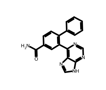 NC(=O)c1ccc(-c2ccccc2)c(-c2ncnc3[nH]cnc23)c1